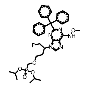 CONc1nc(C(c2ccccc2)(c2ccccc2)c2ccccc2)nc2c1ncn2C(CF)CCOCP(=O)(OC(C)C)OC(C)C